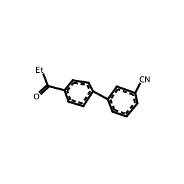 CCC(=O)c1ccc(-c2cccc(C#N)c2)cc1